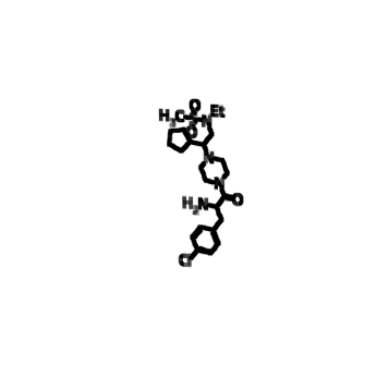 CCN(CC(C1CCCC1)N1CCN(C(=O)C(N)Cc2ccc(Cl)cc2)CC1)S(C)(=O)=O